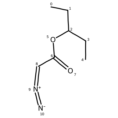 CCC(CC)OC(=O)C=[N+]=[N-]